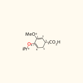 COC1=CC(C(=O)O)CC=C1OC(C)C